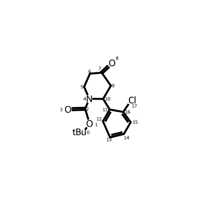 CC(C)(C)OC(=O)N1CCC(=O)CC1c1ccccc1Cl